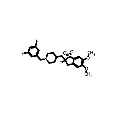 COc1cc2c(cc1OC)S(=O)(=O)C(F)(CC1CCN(Cc3cc(F)cc(F)c3)CC1)C2